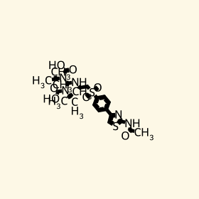 CC(=O)Nc1nc(-c2ccc(S(=O)(=O)CCNC(N(C(=O)O)C(C)(C)C)N(C(=O)O)C(C)(C)C)cc2)cs1